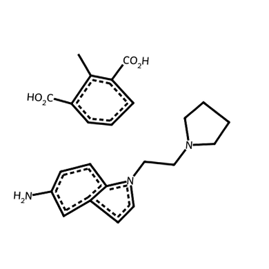 Cc1c(C(=O)O)cccc1C(=O)O.Nc1ccc2c(ccn2CCN2CCCC2)c1